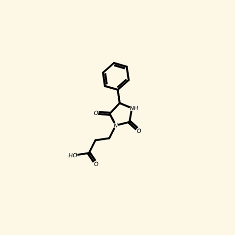 O=C(O)CCN1C(=O)NC(c2ccccc2)C1=O